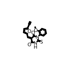 C#Cc1ccc(C=C2C(=O)NC(=S)N(c3ccccc3OC)C2=O)o1